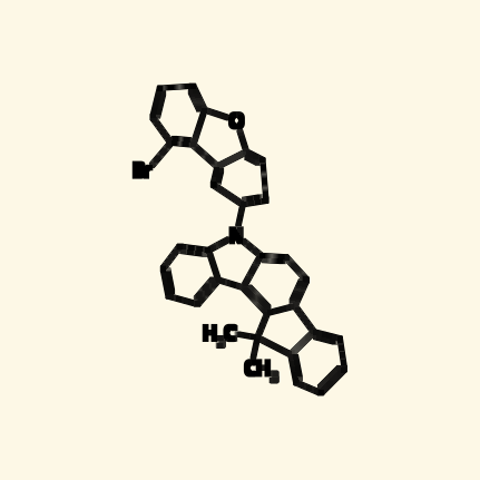 CC1(C)c2ccccc2-c2ccc3c(c21)c1ccccc1n3-c1ccc2oc3cccc(Br)c3c2c1